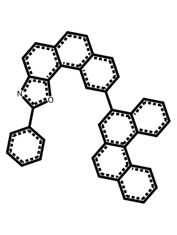 c1ccc(-c2nc3ccc4ccc5ccc(-c6cc7ccc8ccccc8c7c7ccccc67)cc5c4c3o2)cc1